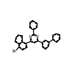 Brc1ccc(-c2cc(-c3cccc(-c4ccccc4)c3)nc(-c3ccccc3)n2)c2ccccc12